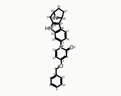 O=c1cc(OCc2ccccc2)ccn1-c1ccc2c3c([nH]c2c1)CC1CCC3N1